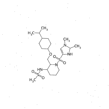 CC(C)C1CCC(OCC2C(NS(C)(=O)=O)CCCN2S(=O)(=O)C2=CN(C)C(C)N2)CC1